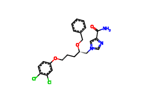 NC(=O)c1cn(C[C@H](CCCOc2ccc(Cl)c(Cl)c2)OCc2ccccc2)cn1